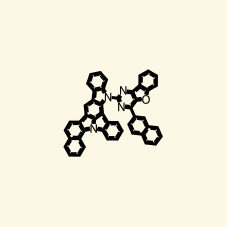 c1ccc2cc(-c3nc(-n4c5ccccc5c5cc6c7ccc8ccccc8c7n7c8ccccc8c(c54)c67)nc4c3oc3ccccc34)ccc2c1